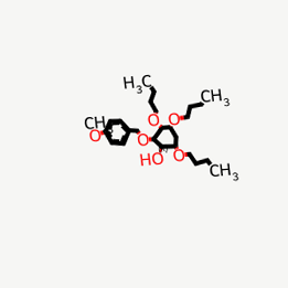 CCCCOC1CC(OCCCC)[C@@H](O)C(OCc2ccc(OC)cc2)C1OCCCC